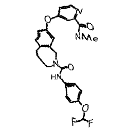 CNC(=O)c1cc(Oc2ccc3c(c2)CN(C(=O)Nc2ccc(OC(F)F)cc2)CC3)ccn1